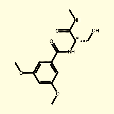 CNC(=O)[C@H](CO)NC(=O)c1cc(OC)cc(OC)c1